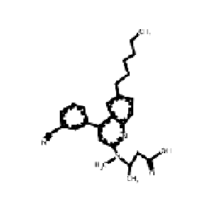 CCCCCCc1ccc2nc(N(C)C(C)CC(=O)O)cc(-c3cccc(C#N)c3)c2c1